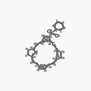 O=S(=O)(c1ccccc1)c1cc2cc3nc(cc4ccc(cc5nc(cc1[nH]2)C=C5)[nH]4)C=C3